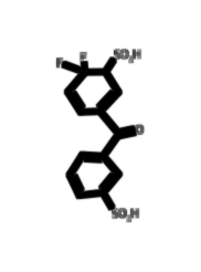 O=C(C1=CC(S(=O)(=O)O)C(F)(F)C=C1)c1cccc(S(=O)(=O)O)c1